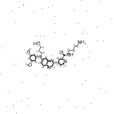 COc1cc(OC)cc(N(CCCO)c2ccc3ncc(-c4ccnc(C(=O)NCCCCN)c4)nc3c2)c1